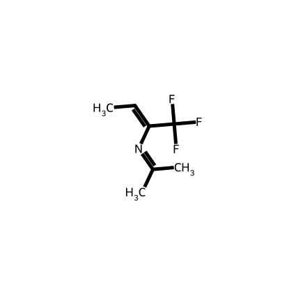 C/C=C(\N=C(C)C)C(F)(F)F